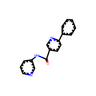 O=C(Nc1cccnc1)c1ccc(-c2ccccc2)nc1